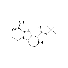 CCn1c(C(=O)O)nc2c1CCNC2C(=O)OC(C)(C)C